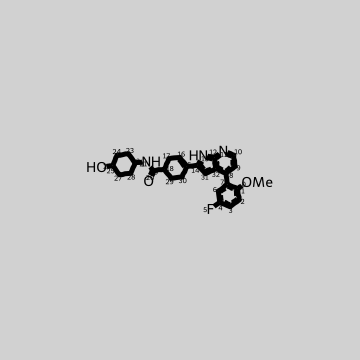 COc1ccc(F)cc1-c1ccnc2[nH]c(C3=CCC(C(=O)NC4CCC(O)CC4)CC3)cc12